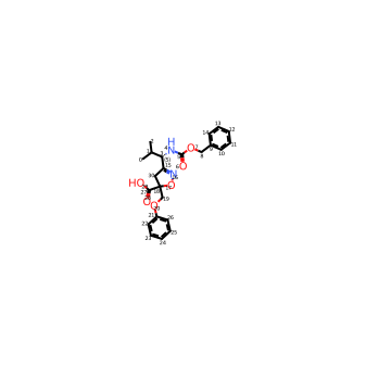 CC(C)[C@H](NC(=O)OCc1ccccc1)C1=NOC(COc2ccccc2)(C(=O)O)C1